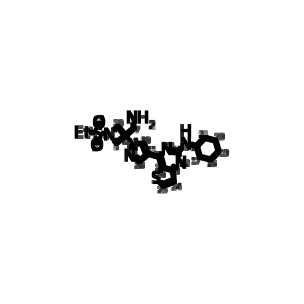 CCS(=O)(=O)N1CC(CN)(n2cc(-c3nc(NC4CCCCC4)nc4ccsc34)cn2)C1